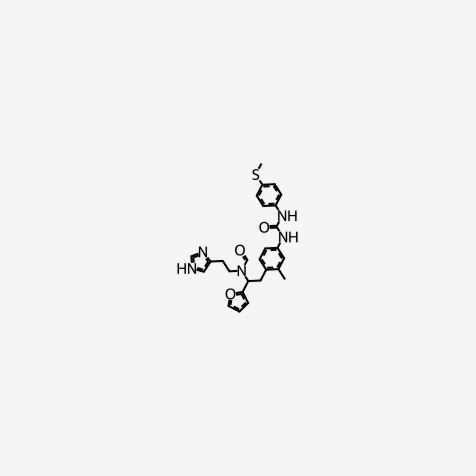 CSc1ccc(NC(=O)Nc2ccc(CC(c3ccco3)N(C=O)CCc3c[nH]cn3)c(C)c2)cc1